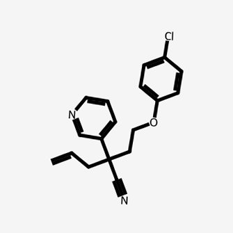 C=CCC(C#N)(CCOc1ccc(Cl)cc1)c1cccnc1